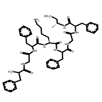 C[C@H](CC(=O)O)NC(=O)C(Cc1ccccc1)NC(=O)CNC(=O)C(Cc1ccccc1)NC(=O)[C@H](CCCCN)NC(=O)C(Cc1ccccc1)NC(=O)CNC(=O)C(N)Cc1ccccc1